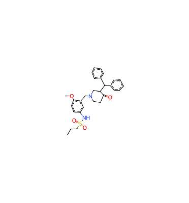 CCCS(=O)(=O)Nc1ccc(OC)c(CN2CCC(=O)C(C(c3ccccc3)c3ccccc3)C2)c1